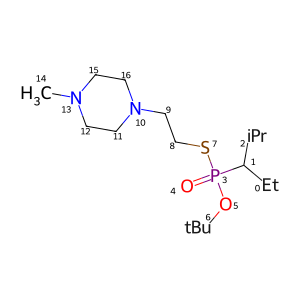 CCC(C(C)C)P(=O)(OC(C)(C)C)SCCN1CCN(C)CC1